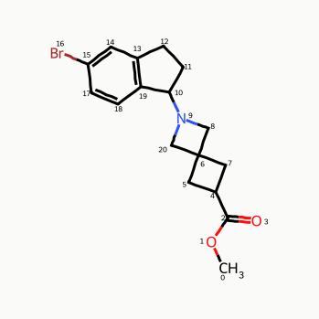 COC(=O)C1CC2(C1)CN(C1CCc3cc(Br)ccc31)C2